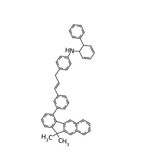 CC1(C)c2cc3ccccc3cc2-c2c(-c3cccc(/C=C/Cc4ccc(NC5C=CC=CC5c5ccccc5)cc4)c3)cccc21